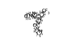 O=C(Cn1ccc2cccnc21)N1CCN(c2ccc(C(F)(F)F)cc2-c2cnc(N3CCOCC3)nc2)CC1